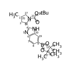 C[C@H]1C[C@@H](c2nc3ccc(B4OC(C)(C)C(C)(C)O4)cc3[nH]2)N(C(=O)OC(C)(C)C)C1